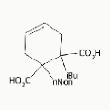 CCCCCCCCCC1(C(=O)O)CC=CCC1(C(=O)O)C(C)CC